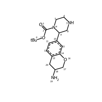 CC(C)(C)OC(=O)N1CCNCC1c1ccc2c(c1)OCC(N)C2